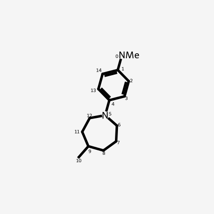 CNc1ccc(N2CCCC(C)CC2)cc1